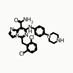 NC(=O)c1c(Nc2ccc(N3CCNCC3)cc2)nc(Cc2c(Cl)cccc2Cl)n2ccnc12